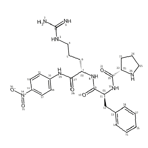 N=C(N)NCCC[C@H](NC(=O)[C@H](Cc1ccccc1)NC(=O)[C@@H]1CCCN1)C(=O)Nc1ccc([N+](=O)[O-])cc1